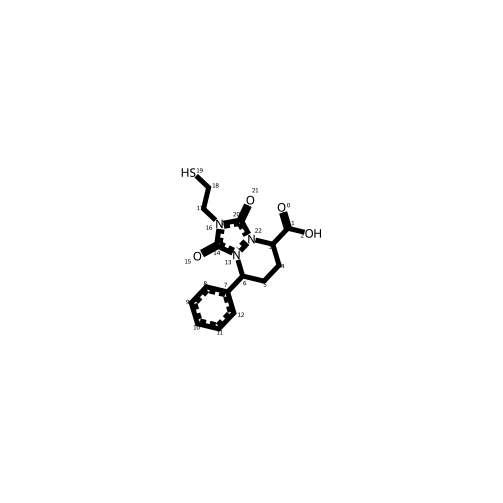 O=C(O)C1CCC(c2ccccc2)n2c(=O)n(CCS)c(=O)n21